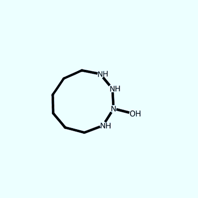 ON1NCCCCCCNN1